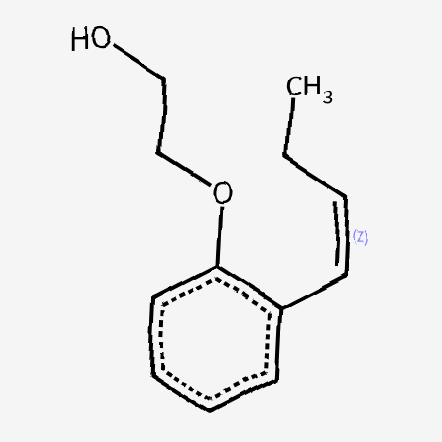 CC/C=C\c1ccccc1OCCO